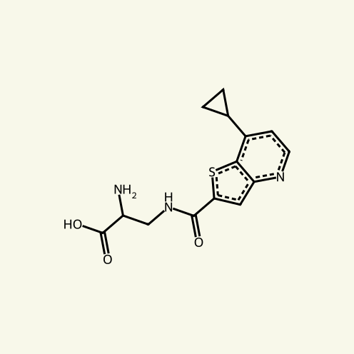 NC(CNC(=O)c1cc2nccc(C3CC3)c2s1)C(=O)O